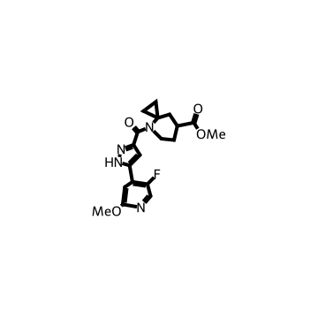 COC(=O)C1CCN(C(=O)c2cc(-c3cc(OC)ncc3F)[nH]n2)C2(CC2)C1